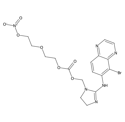 O=C(OCCOCCO[N+](=O)[O-])OCN1CCN=C1Nc1ccc2nccnc2c1Br